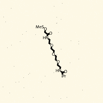 CSOCC(=O)NCCOCCOCCOCCNC(=O)C(C)C